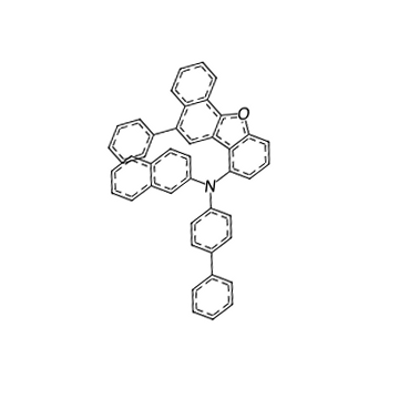 c1ccc(-c2ccc(N(c3ccc4ccccc4c3)c3cccc4oc5c6ccccc6c(-c6ccccc6)cc5c34)cc2)cc1